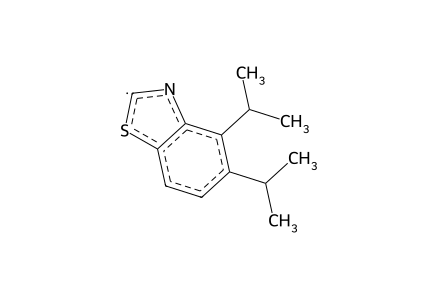 CC(C)c1ccc2s[c]nc2c1C(C)C